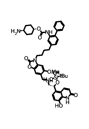 COc1cc2c(cc1CNC[C@H](O[Si](C)(C)C(C)(C)C)c1ccc(O)c3[nH]c(=O)ccc13)oc(=O)n2CCCCc1ccc(-c2ccccc2)c(NC(=O)O[C@H]2CC[C@H](N)CC2)c1